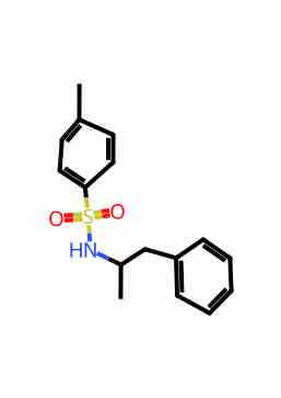 Cc1ccc(S(=O)(=O)NC(C)Cc2ccccc2)cc1